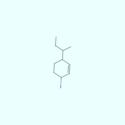 CCC(C)C1C=CC(I)CC1